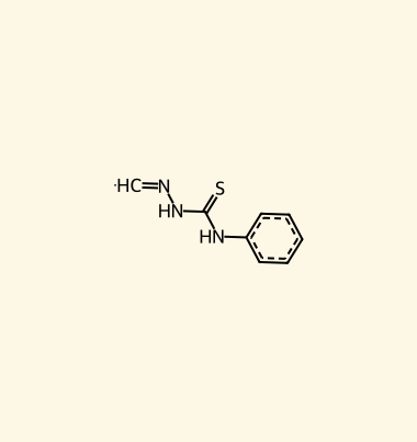 [CH]=NNC(=S)Nc1ccccc1